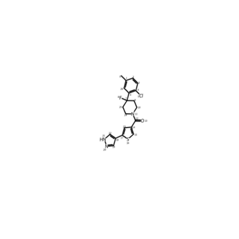 Cc1ccc(Cl)c(C2(F)CCN(C(=O)c3csc(-c4cn[nH]c4)c3)CC2)c1